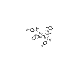 Cc1ccccc1NC(=O)N(CCC(c1ccc(Cl)cc1)N(C)C)OC(=O)C(=O)ON(CCC(c1ccc(Cl)cc1)N(C)C)C(=O)Nc1ccccc1C